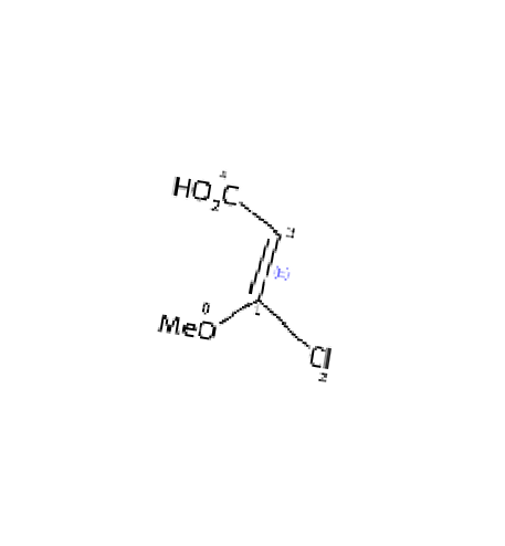 CO/C(Cl)=C\C(=O)O